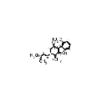 CC1c2[nH]c3cccc(C(=O)O)c3c2C(=O)CN1CCN(C)C